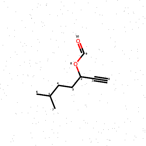 C#CC(CCC(C)C)OC=O